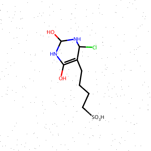 O=S(=O)(O)CCCCC1=C(O)NC(O)NC1Cl